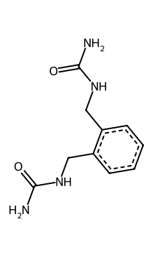 NC(=O)NCc1ccccc1CNC(N)=O